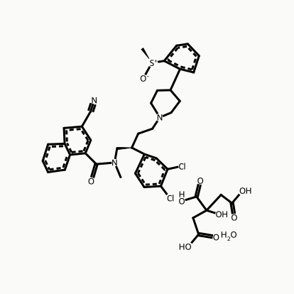 CN(C[C@@H](CCN1CCC(c2ccccc2[S@+](C)[O-])CC1)c1ccc(Cl)c(Cl)c1)C(=O)c1cc(C#N)cc2ccccc12.O.O=C(O)CC(O)(CC(=O)O)C(=O)O